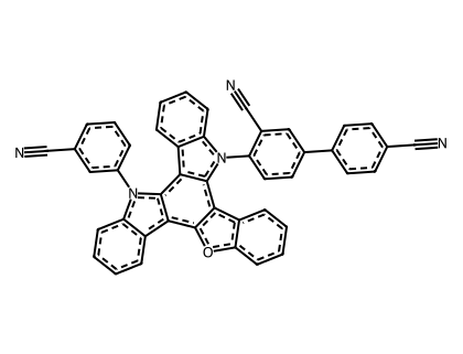 N#Cc1ccc(-c2ccc(-n3c4ccccc4c4c5c(c6ccccc6n5-c5cccc(C#N)c5)c5oc6ccccc6c5c43)c(C#N)c2)cc1